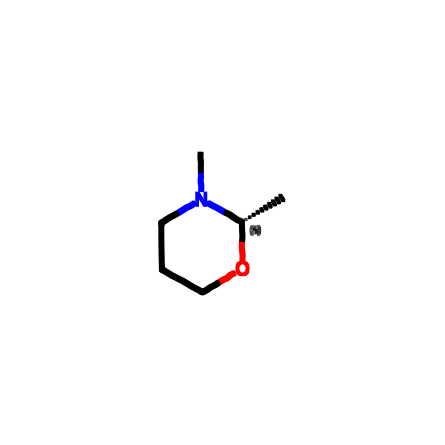 C[C@@H]1OCCCN1C